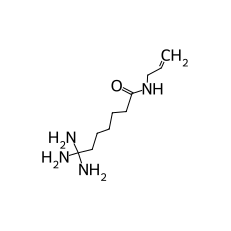 C=CCNC(=O)CCCCCC(N)(N)N